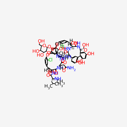 CN[C@H](CC(C)C)C(=O)N[C@H]1C(=O)N[C@@H](CC(N)=O)C(=O)N[C@H]2C(=O)N[C@H]3C(=O)N[C@H](C(=O)N[C@H](C(=O)O)c4cc(O)cc(O)c4-c4cc3ccc4O)[C@H](O)c3ccc(c(Cl)c3)Oc3cc2cc(c3OC2OC(CO)C(O)C(O)C2OC2CC(C)(N)C(O)C(C)O2)Oc2ccc(cc2Cl)[C@H]1O